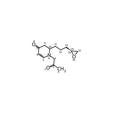 CC(=O)CN1C=CC(=O)CC1CCC[C@H]1CO1